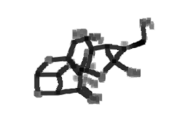 NCC1OC2OC(C2O[C@]2(CO)OC3(O)C(C2O)[C@H]3CN)C(O)[C@@H]1O